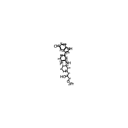 CC(C)OCC(O)CN1CCCC(Nc2nc(-c3c[nH]c4ncc(Cl)cc34)ncc2F)C1